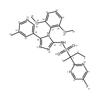 CCC(C)(c1ncc(F)cn1)S(=O)(=O)Nc1nnc(-c2cncc(C)c2)n1-c1c(OC)cccc1OC